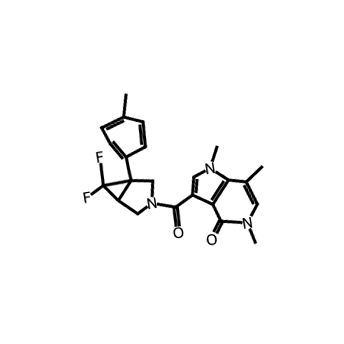 Cc1ccc(C23CN(C(=O)c4cn(C)c5c(C)cn(C)c(=O)c45)CC2C3(F)F)cc1